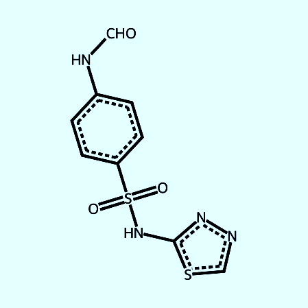 O=CNc1ccc(S(=O)(=O)Nc2nncs2)cc1